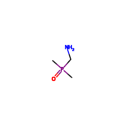 CP(C)(=O)CN